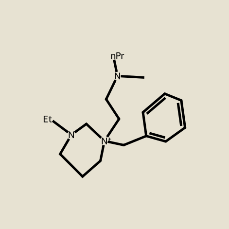 CCCN(C)CC[N+]1(Cc2ccccc2)CCCN(CC)C1